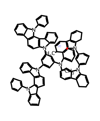 CCN(c1cc(-n2c3ccccc3c3c2ccc2c4ccccc4n(-c4ccccc4)c23)cc(-n2c3ccccc3c3c2ccc2c4ccccc4n(-c4ccccc4)c23)c1)c1ccccc1C(C)/C=C\c1cn(-c2cccc(-n3c4c(c5ccccc53)CCC=C4)c2)c2c1C=CCC2